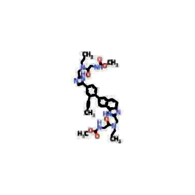 CC#Cc1cc(-c2cnc(CN(CCC)C(=O)CNC(=O)OC)[nH]2)ccc1-c1ccc2c(ccc3nc(CN(CCC)C(=O)CNC(=O)OC)[nH]c32)c1